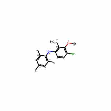 CCOc1c(Br)ccc(Nc2c(C)cc(C)cc2C)c1C(=O)O